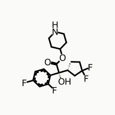 O=C(OC1CCNCC1)[C@](O)(c1ccc(F)cc1F)[C@@H]1CCC(F)(F)C1